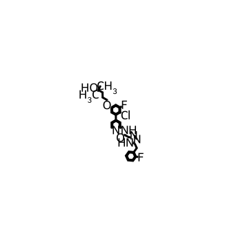 CC(C)(O)CCCOc1cc(F)c(Cl)c(-c2ccnc(NC(=O)c3nnc(Cc4ccccc4F)[nH]3)c2)c1